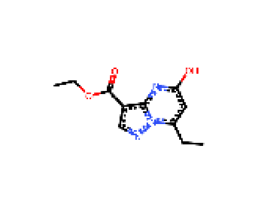 CCOC(=O)c1cnn2c(CC)cc(O)nc12